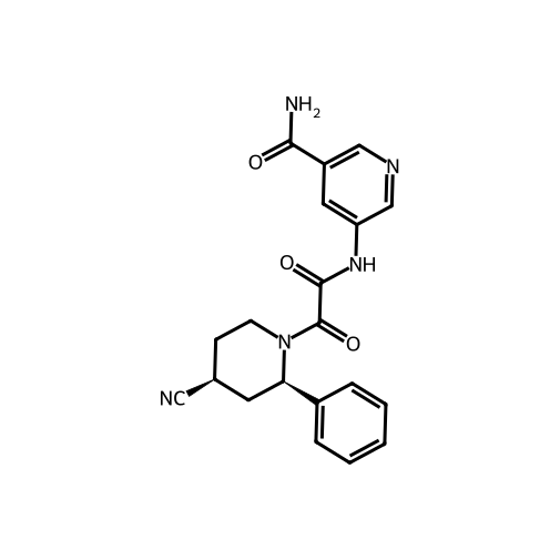 N#C[C@H]1CCN(C(=O)C(=O)Nc2cncc(C(N)=O)c2)[C@@H](c2ccccc2)C1